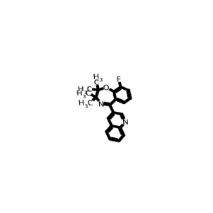 CC1(C)N=C(c2cnc3ccccc3c2)c2cccc(F)c2OC1(C)C